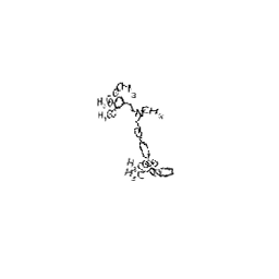 COc1cc(CCN(C)CCCOc2ccc(S(=O)(=O)c3c(C(C)C)cn4ccccc34)cc2)cc(OC)c1OC